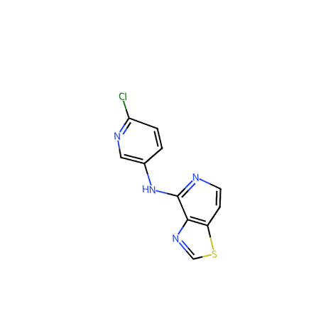 Clc1ccc(Nc2nccc3scnc23)cn1